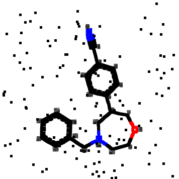 N#Cc1ccc(C2COCCN(Cc3ccccc3)C2)cc1